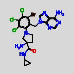 Nc1ncnc2c1ncn2Cc1c(Br)c(Cl)c(Cl)c(Cl)c1N1CCC(N)(C(=O)NC2CC2)C1